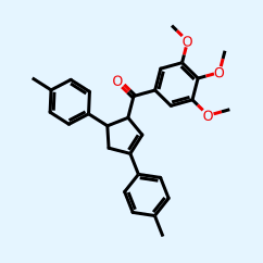 COc1cc(C(=O)C2C=C(c3ccc(C)cc3)CC2c2ccc(C)cc2)cc(OC)c1OC